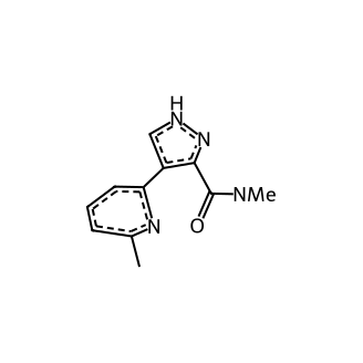 CNC(=O)c1n[nH]cc1-c1cccc(C)n1